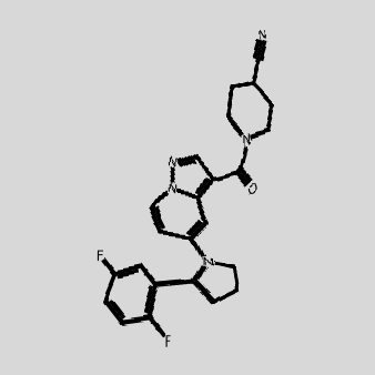 N#CC1CCN(C(=O)c2cnn3ccc(N4CCCC4c4cc(F)ccc4F)cc23)CC1